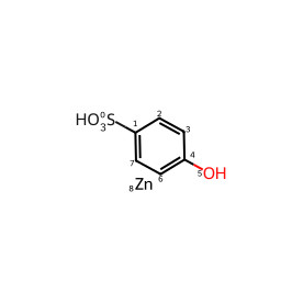 O=S(=O)(O)c1ccc(O)cc1.[Zn]